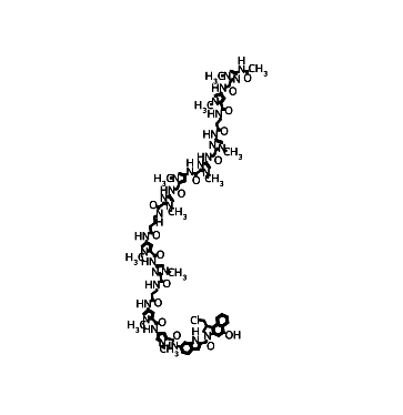 CC(=O)Nc1cn(C)c(C(=O)Nc2cc(C(=O)NCCC(=O)Nc3cn(C)c(C(=O)Nc4cn(C)c(C(=O)Nc5cc(C(=O)Nc6cn(C)c(C(=O)NCCCC(=O)Nc7cc(C(=O)Nc8cn(C)c(C(=O)NCCC(=O)Nc9cc(C(=O)Nc%10cc(C(=O)Nc%11ccc%12cc(C(=O)N%13CC(CCl)c%14c%13cc(O)c%13ccccc%14%13)[nH]c%12c%11)n(C)c%10)n(C)c9)n8)n(C)c7)n6)n(C)c5)n4)n3)n(C)c2)n1